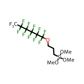 CO[Si](CCCOC(F)(F)C(F)(F)C(F)(F)C(F)(F)C(F)(F)C(F)(F)F)(OC)OC